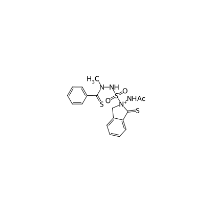 CC(=O)N[N+]1(S(=O)(=O)NN(C)C(=S)c2ccccc2)Cc2ccccc2C1=S